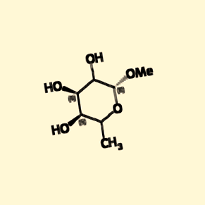 CO[C@@H]1OC(C)[C@@H](O)[C@@H](O)C1O